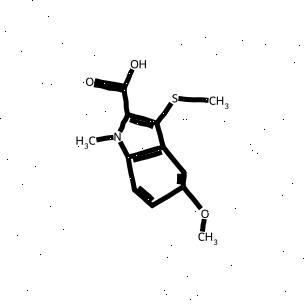 COc1ccc2c(c1)c(SC)c(C(=O)O)n2C